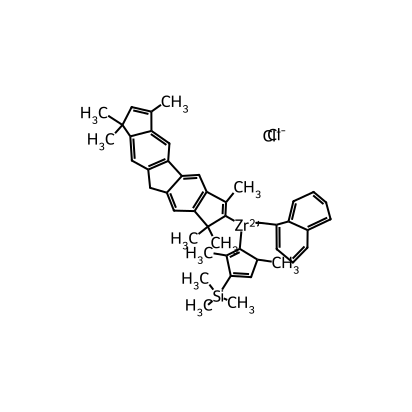 CC1=CC(C)(C)c2cc3c(cc21)-c1cc2c(cc1C3)C(C)(C)[C]([Zr+2](=[CH]c1cccc3ccccc13)[C]1=C(C)C([Si](C)(C)C)=CC1C)=C2C.[Cl-].[Cl-]